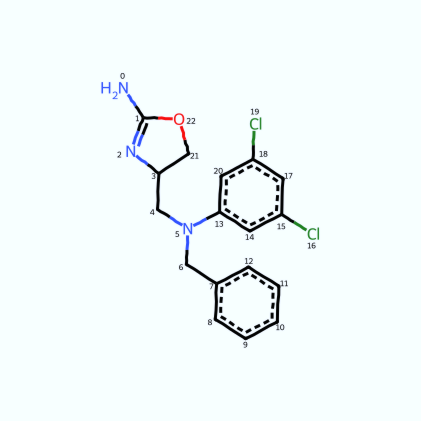 NC1=NC(CN(Cc2ccccc2)c2cc(Cl)cc(Cl)c2)CO1